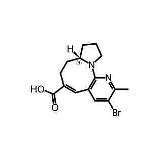 Cc1nc2c(cc1Br)C=C(C(=O)O)CC[C@@H]1CCCN21